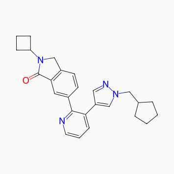 O=C1c2cc(-c3ncccc3-c3cnn(CC4CCCC4)c3)ccc2CN1C1CCC1